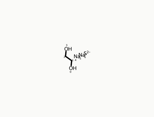 OCCO.[Na+].[Na+].[S-2]